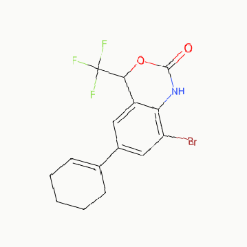 O=C1Nc2c(Br)cc(C3=CCCCC3)cc2C(C(F)(F)F)O1